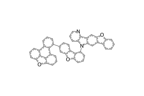 c1ccc2c(c1)oc1cc3c4ncccc4n(-c4cccc5oc6cc(-c7cccc8c9cccc%10oc%11cccc(c78)c%11c%109)ccc6c45)c3cc12